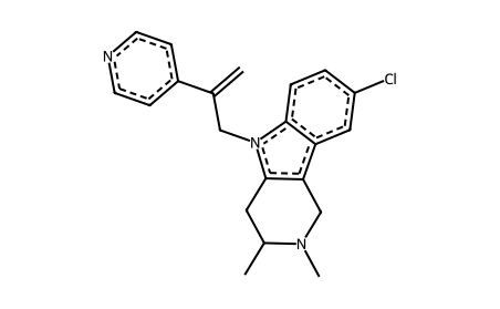 C=C(Cn1c2c(c3cc(Cl)ccc31)CN(C)C(C)C2)c1ccncc1